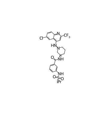 CC(C)S(=O)(=O)Nc1cccc(C(=O)N[C@@H]2CCCN(Nc3cc(C(F)(F)F)nc4ccc(Cl)cc34)C2)c1